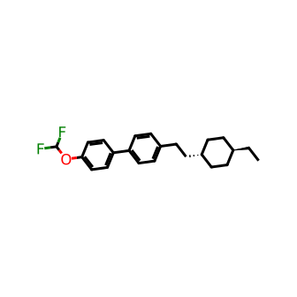 CC[C@H]1CC[C@H](CCc2ccc(-c3ccc(OC(F)F)cc3)cc2)CC1